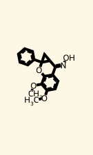 COc1ccc2c(c1OC)OC1(c3ccccc3)CC1C2=NO